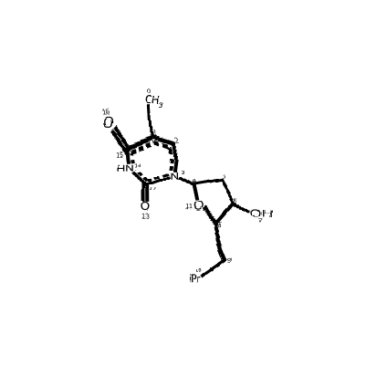 Cc1cn(C2CC(O)C(CC(C)C)O2)c(=O)[nH]c1=O